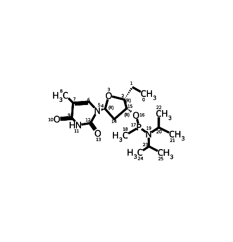 CC[C@H]1O[C@@H](n2cc(C)c(=O)[nH]c2=O)C[C@H]1OP(C)N(C(C)C)C(C)C